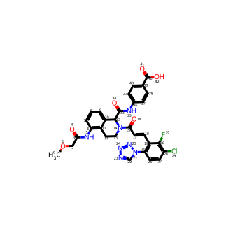 COCC(=O)Nc1cccc2c1CCN(C(=O)C=Cc1c(-n3cnnn3)ccc(Cl)c1F)C2C(=O)Nc1ccc(C(=O)O)cc1